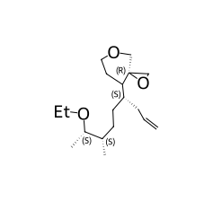 C=CC[C@H](CC[C@H](C)[C@H](C)OCC)C1CCOC[C@@]12CO2